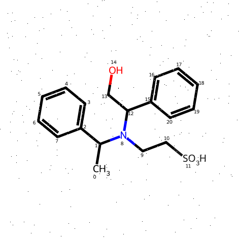 CC(c1ccccc1)N(CCS(=O)(=O)O)C(CO)c1ccccc1